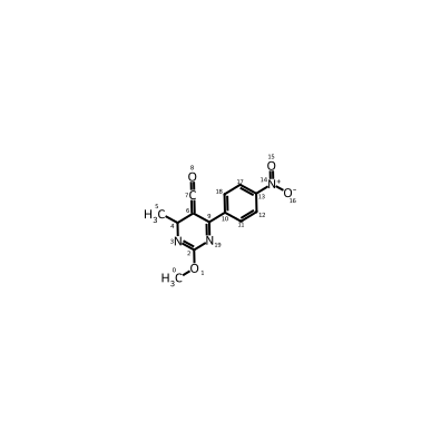 COC1=NC(C)C(=C=O)C(c2ccc([N+](=O)[O-])cc2)=N1